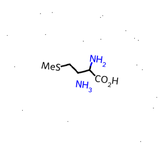 CSCCC(N)C(=O)O.N